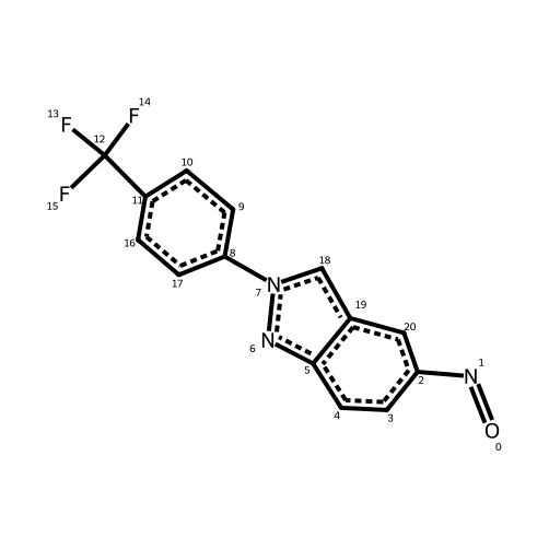 O=Nc1ccc2nn(-c3ccc(C(F)(F)F)cc3)cc2c1